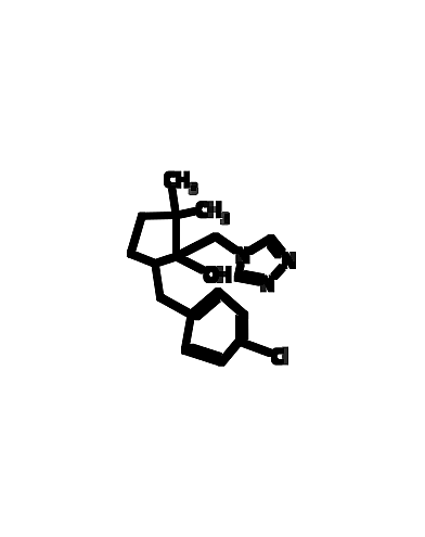 CC1(C)CCC(Cc2ccc(Cl)cc2)C1(O)Cn1cnnc1